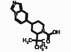 CC(C)(C)C1CC(c2ccn3cncc3c2)CCN1C(=O)O